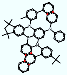 Cc1ccc(-c2ccccc2)cc1N1c2cc3c(cc2B2c4ccc(-c5ccccc5)cc4N(c4ccc(C(C)(C)C)cc4-c4ccccc4)c4cc(N(c5ccccc5)c5ccccc5)cc1c42)C(C)(C)CC3(C)C